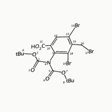 CC(C)(C)OC(=O)N(C(=O)OC(C)(C)C)c1c(C(=O)O)cc(Br)c(CBr)c1Br